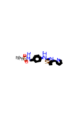 CCCS(=O)(=O)NCC1CCC(Nc2nc(-c3ccccn3)c(C)s2)CC1